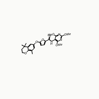 COc1nc(OC)c(NC(=O)c2ccc(Oc3cc(C)c4c(c3)C(C)(C)CCO4)o2)c(OC)n1